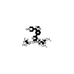 COc1ncc(-c2ccc3ncnc(C4CCNCC4)c3c2)cc1NS(=O)(=O)c1sc(C)nc1C.O=C(O)C(F)(F)F